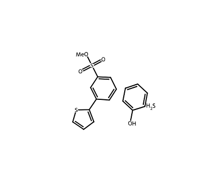 COS(=O)(=O)c1cccc(-c2cccs2)c1.Oc1ccccc1.S